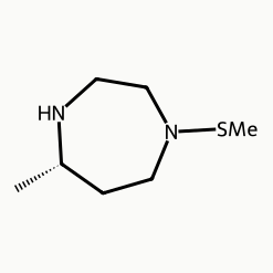 CSN1CCN[C@@H](C)CC1